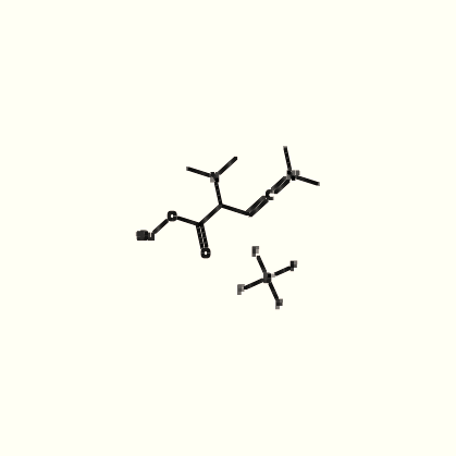 CN(C)C(C=C=[N+](C)C)C(=O)OC(C)(C)C.F[B-](F)(F)F